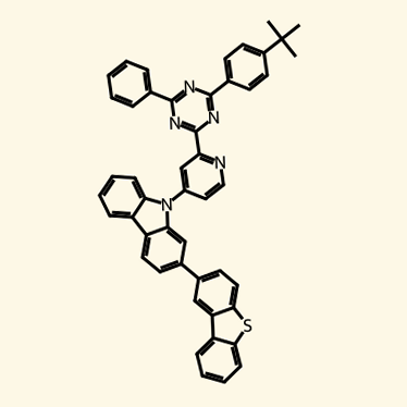 CC(C)(C)c1ccc(-c2nc(-c3ccccc3)nc(-c3cc(-n4c5ccccc5c5ccc(-c6ccc7sc8ccccc8c7c6)cc54)ccn3)n2)cc1